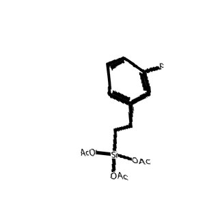 CC(=O)O[Si](CCc1cccc(F)c1)(OC(C)=O)OC(C)=O